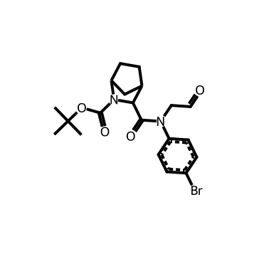 CC(C)(C)OC(=O)N1C2CCC(C2)C1C(=O)N(CC=O)c1ccc(Br)cc1